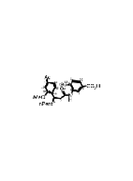 CCCCCC(CC(=O)Nc1cc(C(=O)O)ccc1C(C)(C)C)c1ccc(C(C)=O)cc1OC